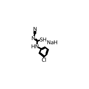 N#CN=C(S)Nc1cccc(Cl)c1.[NaH]